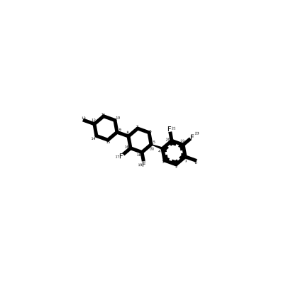 Cc1ccc([C@@H]2CCC(C3CCC(C)CC3)C(F)C2F)c(F)c1F